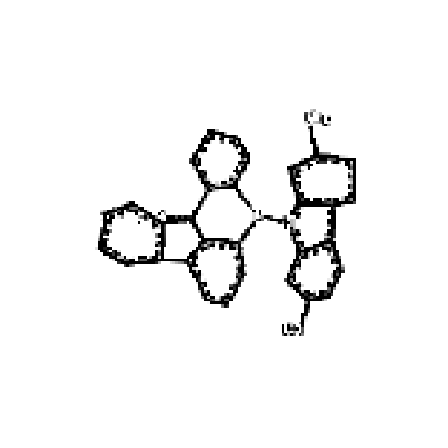 CC(C)(C)c1ccc2c3ccc(C(C)(C)C)cc3n(B3c4ccccc4C4(C)c5ccccc5-c5cccc3c54)c2c1